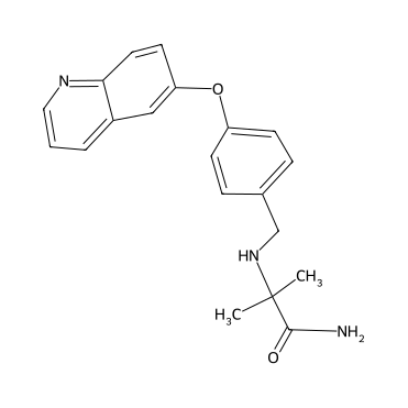 CC(C)(NCc1ccc(Oc2ccc3ncccc3c2)cc1)C(N)=O